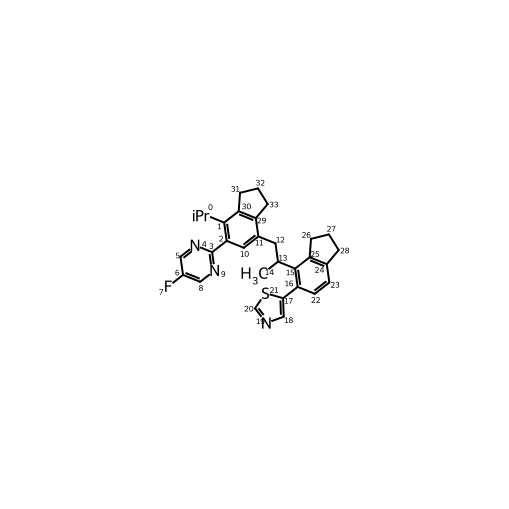 CC(C)c1c(-c2ncc(F)cn2)cc(CC(C)c2c(-c3cncs3)ccc3c2CCC3)c2c1CCC2